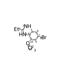 CCC(=N)Nc1ccc(Br)cc1OC(F)(F)F